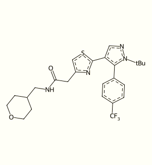 CC(C)(C)n1ncc(-c2nc(CC(=O)NCC3CCOCC3)cs2)c1-c1ccc(C(F)(F)F)cc1